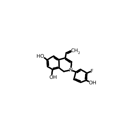 C=CC1=CN(c2ccc(O)c(F)c2)Cc2c(O)cc(O)cc21